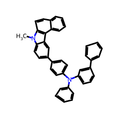 Cn1c2ccc(-c3ccc(N(c4ccccc4)c4cccc(-c5ccccc5)c4)cc3)cc2c2c3ccccc3ccc21